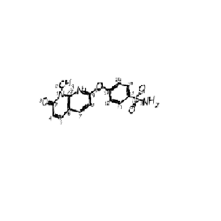 Cn1c(=O)ccc2ccc(Oc3ccc(S(N)(=O)=O)cc3)nc21